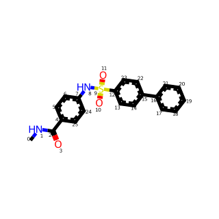 CNC(=O)c1ccc(NS(=O)(=O)c2ccc(-c3ccccc3)cc2)cc1